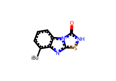 CCC(C)c1cccc2c1nc1s[nH]c(=O)n12